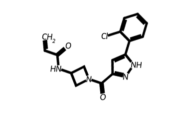 C=CC(=O)NC1CN(C(=O)c2cc(-c3ccccc3Cl)[nH]n2)C1